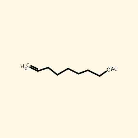 C=CCCCCCCOC(C)=O